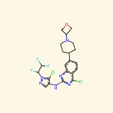 FC(F)C(F)n1ncc(Nc2nc(Cl)c3ccc(C4CCN(C5COC5)CC4)cc3n2)c1Cl